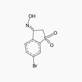 O=S1(=O)C/C(=N\O)c2ccc(Br)cc21